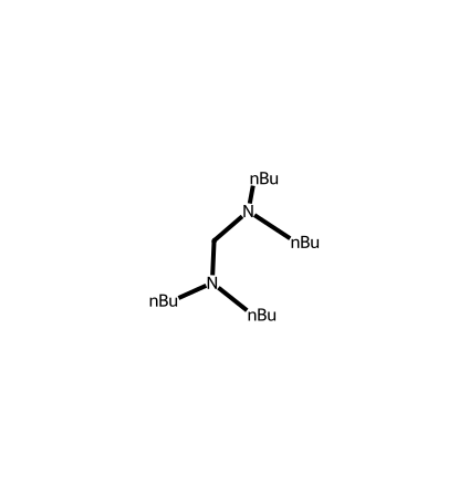 CCCCN(CCCC)CN(CCCC)CCCC